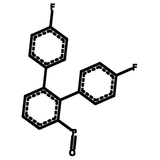 O=Pc1cccc(-c2ccc(F)cc2)c1-c1ccc(F)cc1